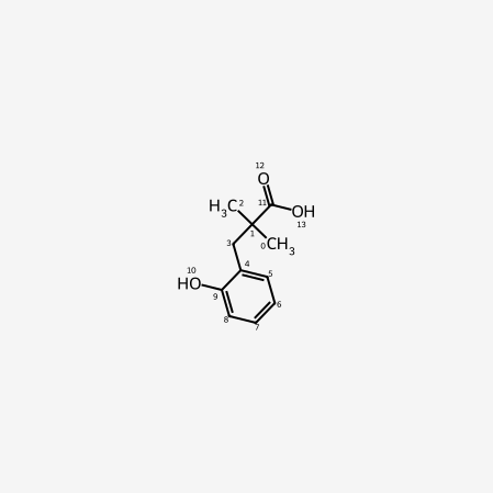 CC(C)(Cc1ccccc1O)C(=O)O